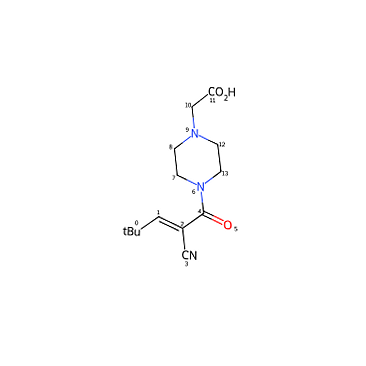 CC(C)(C)C=C(C#N)C(=O)N1CCN(CC(=O)O)CC1